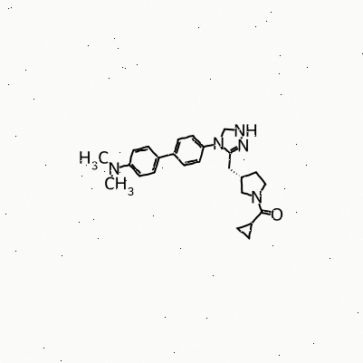 CN(C)c1ccc(-c2ccc(N3CNN=C3C[C@@H]3CCN(C(=O)C4CC4)C3)cc2)cc1